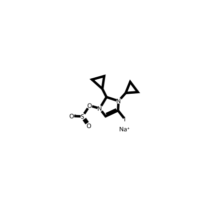 O=S([O-])ON1C=C(I)N(C2CC2)C1C1CC1.[Na+]